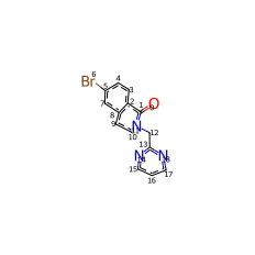 O=c1c2ccc(Br)cc2ccn1Cc1ncccn1